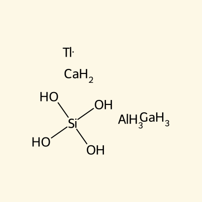 O[Si](O)(O)O.[AlH3].[CaH2].[GaH3].[Tl]